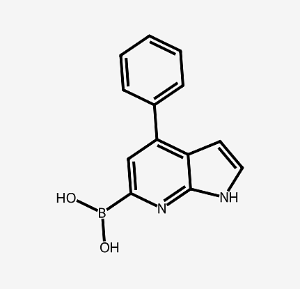 OB(O)c1cc(-c2ccccc2)c2cc[nH]c2n1